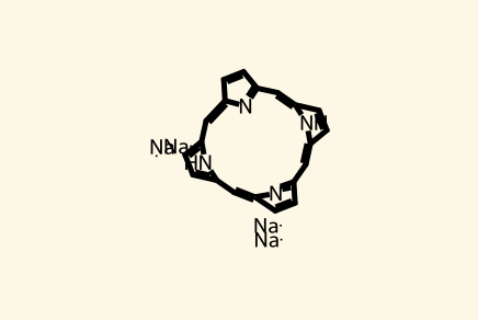 C1=Cc2cc3ccc(cc4nc(cc5ccc(cc1n2)[nH]5)C=C4)[nH]3.[Na].[Na].[Na].[Na]